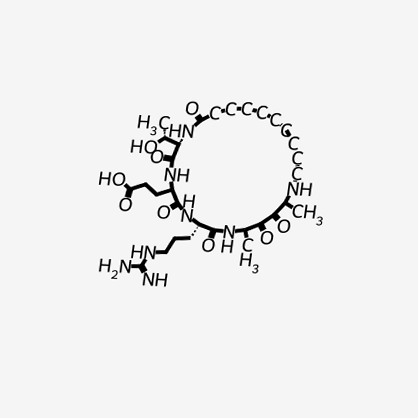 CC1NCCCCCCCCCC(=O)N[C@@H]([C@@H](C)O)C(=O)NC(CCC(=O)O)C(=O)N[C@@H](CCCNC(=N)N)C(=O)NC(C)C(=O)C1=O